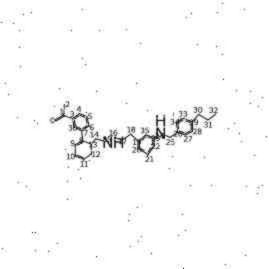 C=C(C)c1cccc(C2=CC=CCC2CNCCCc2cccc(NCc3ccc(CCC)cc3)c2)c1